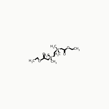 CCOC(=O)C[N+](C)(C)CC[N+](C)(C)CC(=O)OCC